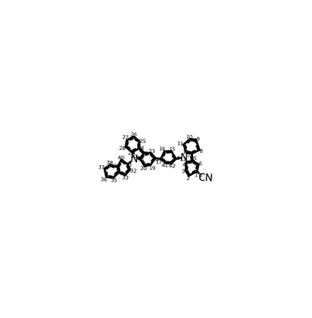 N#Cc1ccc2c(c1)c1ccccc1n2-c1ccc(-c2ccc3c(c2)c2ccccc2n3-c2ccc3ccccc3c2)cc1